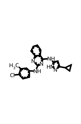 Cc1cc(Nc2nc(Nc3cc(C4CC4)n[nH]3)c3ccccc3n2)ccc1Cl